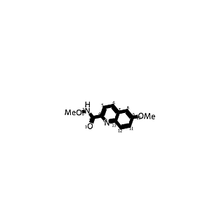 CONC(=O)c1ccc2cc(OC)ccc2n1